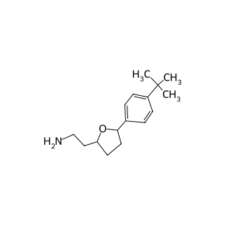 CC(C)(C)c1ccc(C2CCC(CCN)O2)cc1